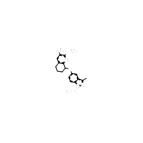 COc1nc2c(cc1C#N)CCCC2Oc1ccc2c(c1)c(I)nn2C(=O)O